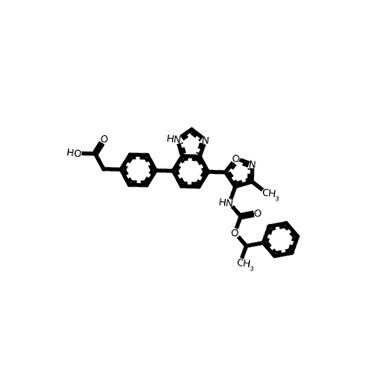 Cc1noc(-c2ccc(-c3ccc(CC(=O)O)cc3)c3[nH]cnc23)c1NC(=O)OC(C)c1ccccc1